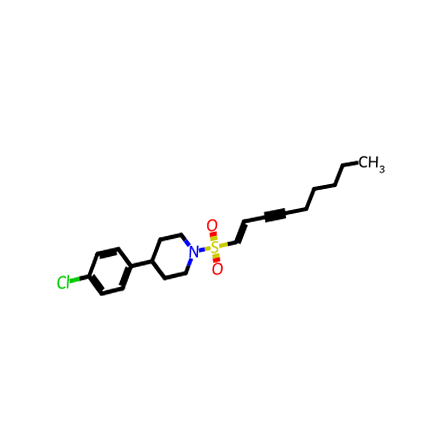 CCCCCC#CC=CS(=O)(=O)N1CCC(c2ccc(Cl)cc2)CC1